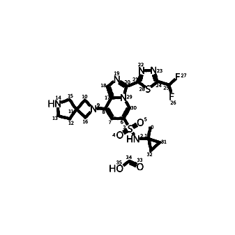 CC1(NS(=O)(=O)c2cc(N3CC4(CCNC4)C3)c3cnc(-c4nnc(C(F)F)s4)n3c2)CC1.O=CO